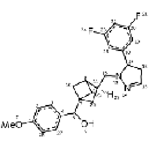 COc1ccc(C(O)C23CC(C2)[C@@H](CN2N=CCC2c2cc(F)cc(F)c2)C3)cc1